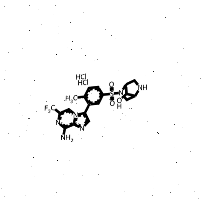 Cc1ccc(S(=O)(=O)N2CC3NCC2C3O)cc1-c1cnc2c(N)nc(C(F)(F)F)cn12.Cl.Cl